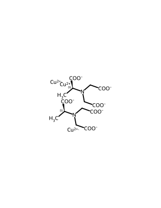 C[C@@H](C(=O)[O-])N(CC(=O)[O-])CC(=O)[O-].C[C@@H](C(=O)[O-])N(CC(=O)[O-])CC(=O)[O-].[Cu+2].[Cu+2].[Cu+2]